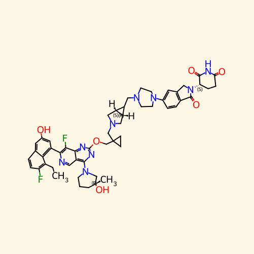 CCc1c(F)ccc2cc(O)cc(-c3ncc4c(N5CCC[C@@](C)(O)C5)nc(OCC5(CN6C[C@@H]7C(CN8CCN(c9ccc%10c(c9)CN([C@H]9CCC(=O)NC9=O)C%10=O)CC8)[C@@H]7C6)CC5)nc4c3F)c12